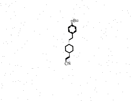 CCCCc1ccc(CC[C@H]2CC[C@H](/C=C/C#N)CC2)cc1